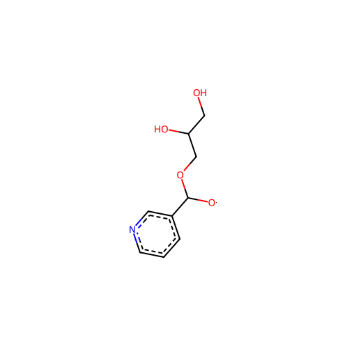 [O]C(OCC(O)CO)c1cccnc1